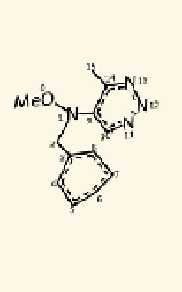 CON(Cc1ccccc1)c1[c]nnnc1C